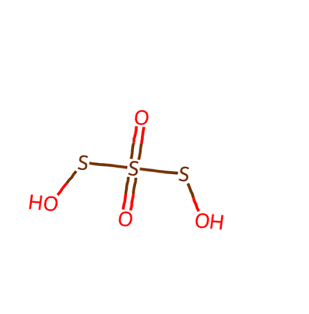 O=S(=O)(SO)SO